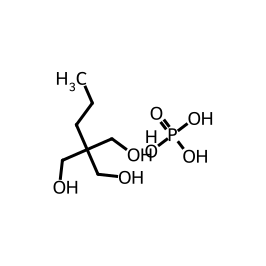 CCCC(CO)(CO)CO.O=P(O)(O)O